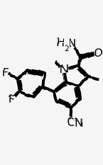 Cc1c(C(N)=O)n(C)c2c(-c3ccc(F)c(F)c3)cc(C#N)cc12